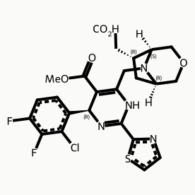 COC(=O)C1=C(CN2[C@H]3COC[C@@H]2[C@@H](CC(=O)O)C3)NC(c2nccs2)=N[C@H]1c1ccc(F)c(F)c1Cl